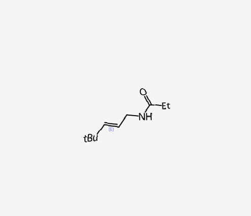 CCC(=O)NC/C=C/C(C)(C)C